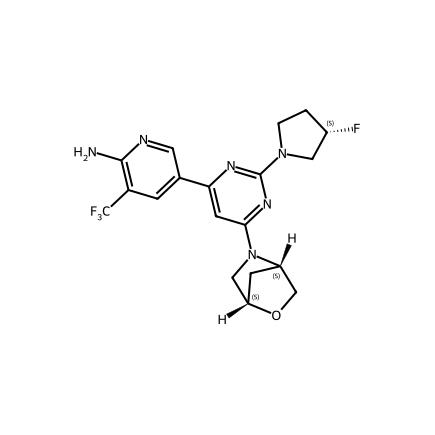 Nc1ncc(-c2cc(N3C[C@@H]4C[C@H]3CO4)nc(N3CC[C@H](F)C3)n2)cc1C(F)(F)F